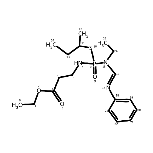 CCOC(=O)CCNP(=O)(SC(C)CC)N(C=Nc1ccccc1)CC